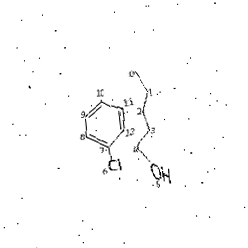 CCCCCO.Clc1ccccc1